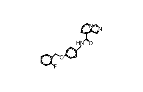 O=C(NCc1ccc(OCc2ccccc2F)cc1)c1cccn2cncc12